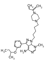 C=CC(=C)N1CCN(CCCCCN2N=C(c3cccc(OC(C)CC)c3)C3=C(N)N=CN(C)C32)CC1